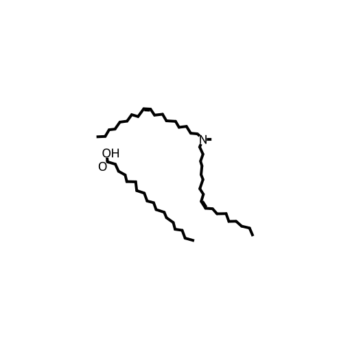 CCCCCCCC/C=C\CCCCCCCCN(C)CCCCCCCC/C=C\CCCCCCCC.CCCCCCCCCCCCCCCCCC(=O)O